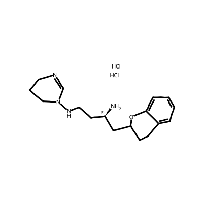 Cl.Cl.N[C@H](CCNN1C=NCCC1)CC1CCc2ccccc2O1